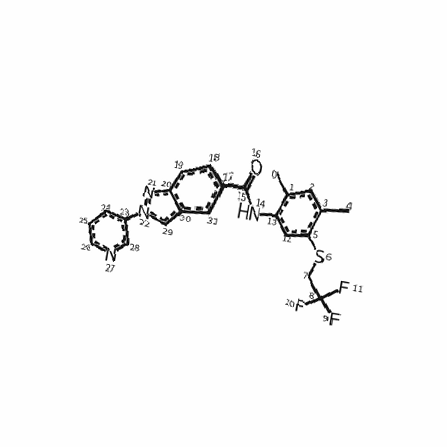 Cc1cc(C)c(SCC(F)(F)F)cc1NC(=O)c1ccc2nn(-c3cccnc3)cc2c1